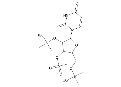 CC(C)(C)[Si](C)(C)OCC1OC(n2ccc(=O)[nH]c2=O)C(O[Si](C)(C)C(C)(C)C)C1OS(C)(=O)=O